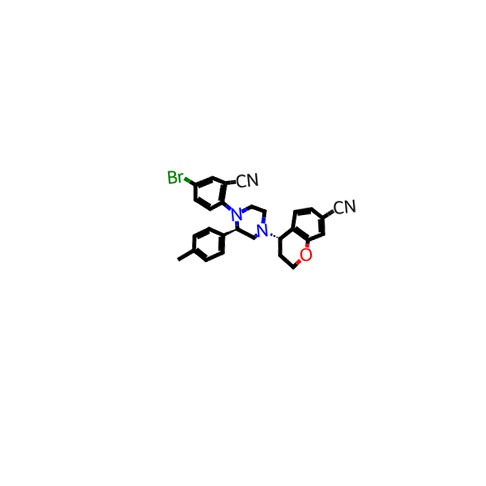 Cc1ccc([C@@H]2CN([C@H]3CCOc4cc(C#N)ccc43)CCN2c2ccc(Br)cc2C#N)cc1